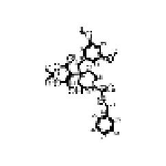 COc1cc(CC2(C3=C(O)OC(C)(C)OC3=O)CCN(C(=O)OCc3ccccc3)CC2)cc(OC)c1